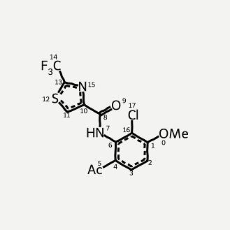 COc1ccc(C(C)=O)c(NC(=O)c2csc(C(F)(F)F)n2)c1Cl